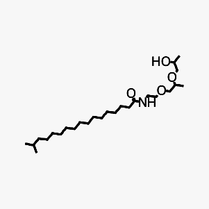 CC(C)CCCCCCCCCCCCCCC(=O)NCCOCC(C)OCC(C)O